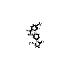 CC(C)[C@H]1COC(=O)N1c1ccnc(N[C@@H](C)c2ccc(CCl)cc2)n1